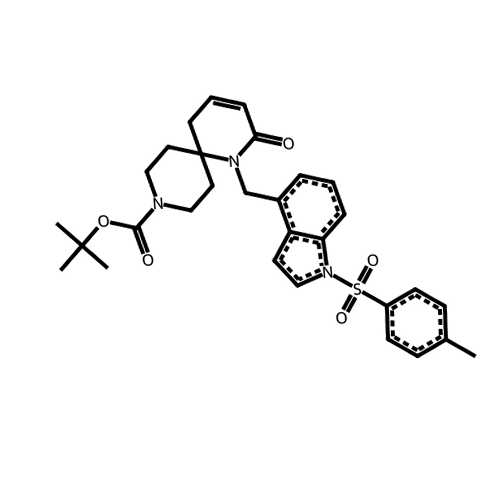 Cc1ccc(S(=O)(=O)n2ccc3c(CN4C(=O)C=CCC45CCN(C(=O)OC(C)(C)C)CC5)cccc32)cc1